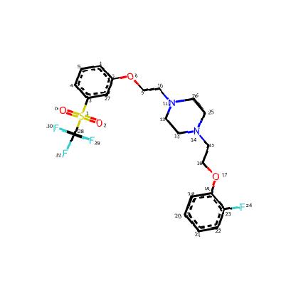 O=S(=O)(c1cccc(OCCN2CCN(CCOc3ccccc3F)CC2)c1)C(F)(F)F